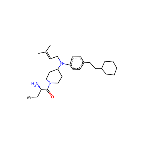 CC(C)=CCN(c1ccc(CCC2CCCCC2)cc1)C1CCN(C(=O)[C@H](N)CC(C)C)CC1